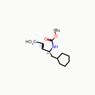 CC(C)(C)OC(=O)N[C@H](/C=C/C(=O)O)CC1CCCCC1